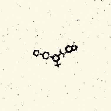 O=C(Nc1ccc2[nH]ccc2c1)c1cc(N2CCC(N3CCCC3)CC2)cc(C(F)(F)F)c1